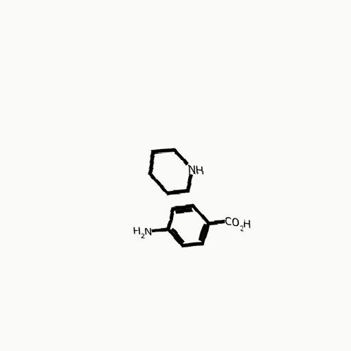 C1CCNCC1.Nc1ccc(C(=O)O)cc1